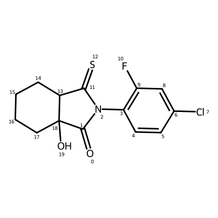 O=C1N(c2ccc(Cl)cc2F)C(=S)C2CCCCC12O